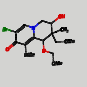 COCOC1c2c(OC)c(=O)c(Br)cn2CC(O)C1(C)COC